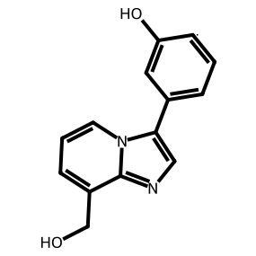 OCc1cccn2c(-c3cc[c]c(O)c3)cnc12